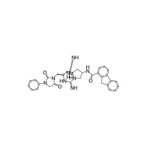 N=C1NC2[C@H](CN3C(=O)CN(c4ccccc4)C3=O)NC(=N)N3CC(NC(=O)c4cccc5c4Cc4ccccc4-5)CC23N1